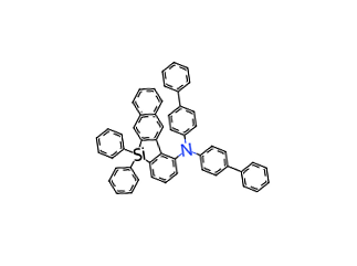 c1ccc(-c2ccc(N(c3ccc(-c4ccccc4)cc3)c3cccc4c3-c3cc5ccccc5cc3[Si]4(c3ccccc3)c3ccccc3)cc2)cc1